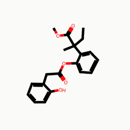 CCC(C)(C(=O)OC)c1ccccc1OC(=O)Cc1ccccc1O